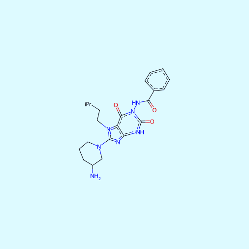 CC(C)CCn1c(N2CCCC(N)C2)nc2[nH]c(=O)n(NC(=O)c3ccccc3)c(=O)c21